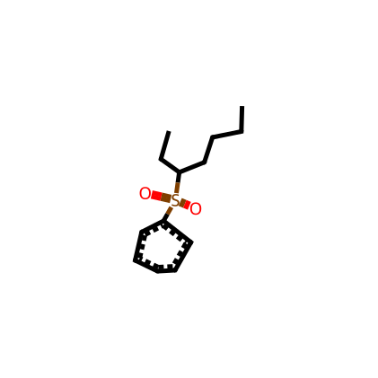 CCCCC(CC)S(=O)(=O)c1ccccc1